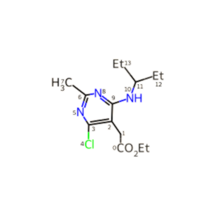 CCOC(=O)Cc1c(Cl)nc(C)nc1NC(CC)CC